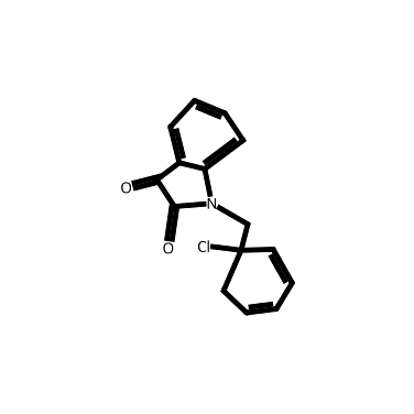 O=C1C(=O)N(CC2(Cl)C=CC=CC2)c2ccccc21